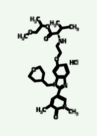 COCC(C)OC(=O)[C@@H](NCCOc1ccc2nc(-c3cc(C)c(=O)n(C)c3)n(CC3CCOCC3)c2c1)C(C)C.Cl